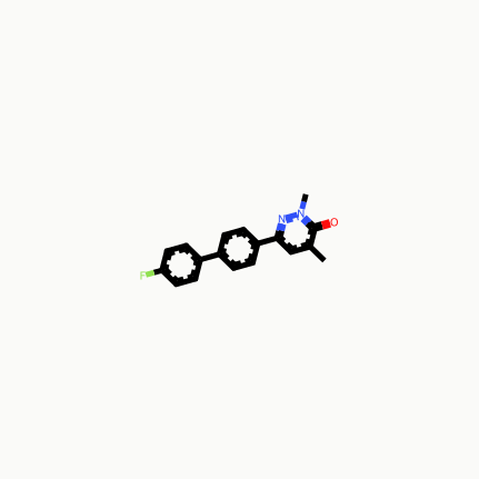 Cc1cc(-c2ccc(-c3ccc(F)cc3)cc2)nn(C)c1=O